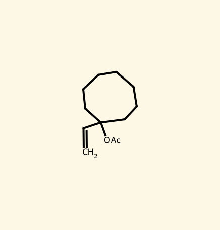 C=CC1(OC(C)=O)CCCCCCC1